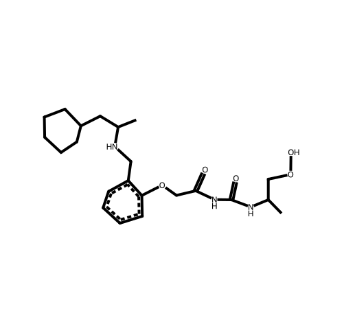 CC(CC1CCCCC1)NCc1ccccc1OCC(=O)NC(=O)NC(C)COO